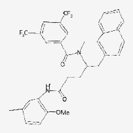 COc1ccc(C)cc1NC(=O)CCC(Cc1ccc2ccccc2c1)N(C)C(=O)c1cc(C(F)(F)F)cc(C(F)(F)F)c1